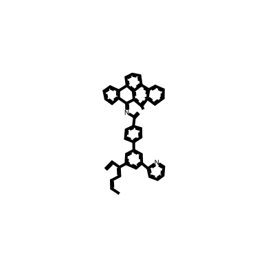 C=C/C(=C\C=C/C)c1cc(-c2ccc(C(=C)/N=C3/c4ccccc4-c4cccc5c4c3c(C)c3ccccc35)cc2)cc(-c2ccccn2)c1